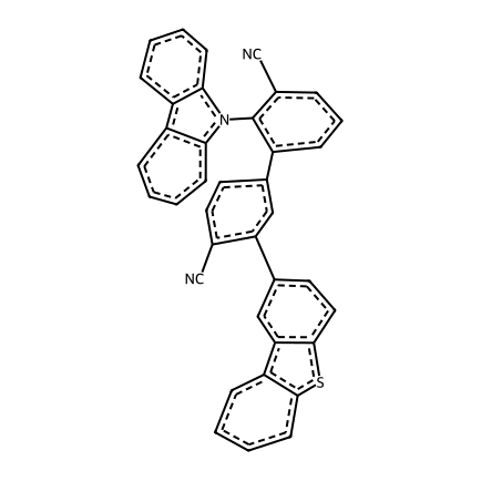 N#Cc1ccc(-c2cccc(C#N)c2-n2c3ccccc3c3ccccc32)cc1-c1ccc2sc3ccccc3c2c1